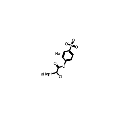 CCCCCCCC(Cl)C(=O)Oc1ccc(S(=O)(=O)[O-])cc1.[Na+]